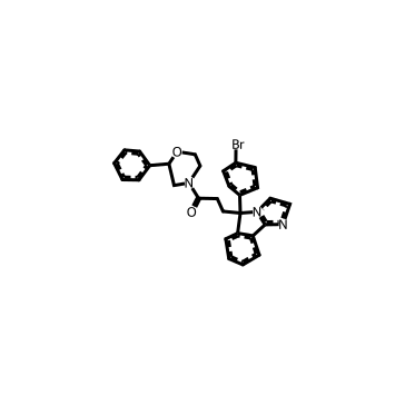 O=C(CCC1(c2ccc(Br)cc2)c2ccccc2-c2nccn21)N1CCOC(c2ccccc2)C1